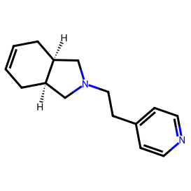 C1=CC[C@H]2CN(CCc3ccncc3)C[C@H]2C1